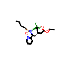 CCCC[S+]([O-])/N=C(/C[C@@H](CC(=O)OCC)C(F)(F)F)c1ccccn1